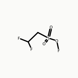 O=S(=O)(CC(F)F)OF